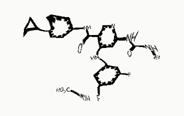 CCNC(=O)Nc1cc(Nc2cc(F)cc(F)c2)c(C(=O)Nc2ccc(C3CC3)cc2)cn1.O=C(O)O